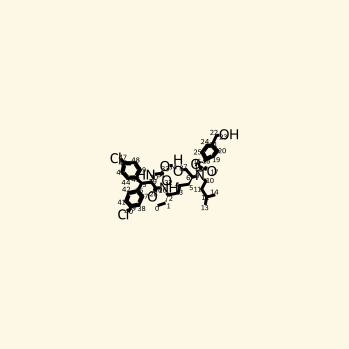 CC[C@@H](CCC[C@@H](CO)N(CCC(C)C)S(=O)(=O)c1ccc(CO)cc1)NC(=O)[C@@H](NC(=O)OC)C(c1ccc(Cl)cc1)c1ccc(Cl)cc1